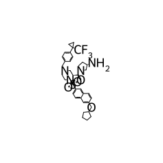 N[C@H]1CCN(C(=O)[C@@H]2CN(Cc3ccc(C4(C(F)(F)F)CC4)cc3)CCN2S(=O)(=O)c2ccc3cc(OC4CCCC4)ccc3c2)C1